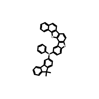 CC1(C)c2ccccc2-c2cc(N(c3ccccc3)c3ccc4sc5ccc6c7ccc8ccccc8c7oc6c5c4c3)ccc21